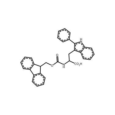 O=C(NC(Cc1c(-c2ccccc2)[nH]c2ccccc12)C(=O)O)OCC1c2ccccc2-c2ccccc21